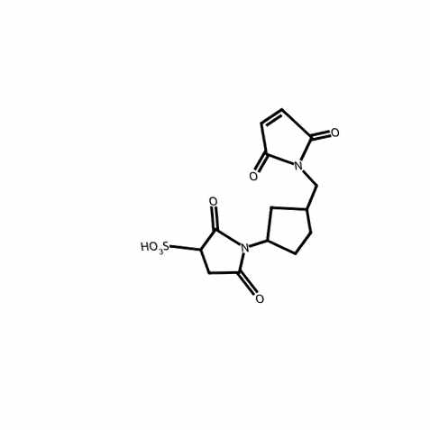 O=C1C=CC(=O)N1CC1CCC(N2C(=O)CC(S(=O)(=O)O)C2=O)C1